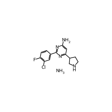 N.Nc1cc(C2CCNC2)nc(-c2ccc(F)c(Cl)c2)n1